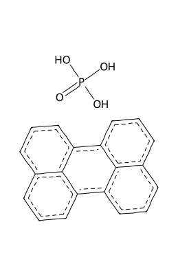 O=P(O)(O)O.c1cc2cccc3c4cccc5cccc(c(c1)c23)c54